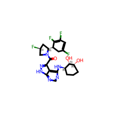 O=C(c1n[nH]c2ncnc(N[C@@H]3CCC[C@@H](O)[C@H]3O)c12)N1C[C@@H](F)C[C@@H]1C1CC(F)=CC(F)=C1F